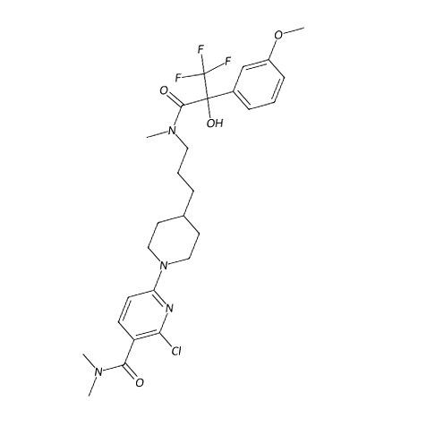 COc1cccc(C(O)(C(=O)N(C)CCCC2CCN(c3ccc(C(=O)N(C)C)c(Cl)n3)CC2)C(F)(F)F)c1